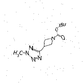 Cn1nnc(C2CN(C(=O)OC(C)(C)C)C2)n1